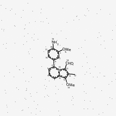 COc1cc(-c2cccc3c(OC)c(C)c(C=O)n23)ccc1N